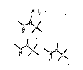 CN([SiH](C)C)[Si](C)(C)C.CN([SiH](C)C)[Si](C)(C)C.CN([SiH](C)C)[Si](C)(C)C.[AlH3]